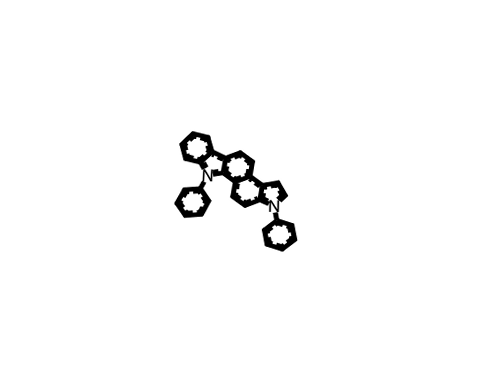 c1ccc(-n2ccc3c4ccc5c6ccccc6n(-c6ccccc6)c5c4ccc32)cc1